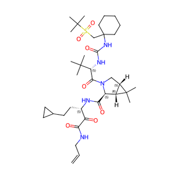 C=CCNC(=O)C(=O)[C@H](CCC1CC1)NC(=O)[C@@H]1[C@@H]2[C@H](CN1C(=O)[C@@H](NC(=O)NC1(CS(=O)(=O)C(C)(C)C)CCCCC1)C(C)(C)C)C2(C)C